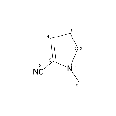 CN1[C]CC=C1C#N